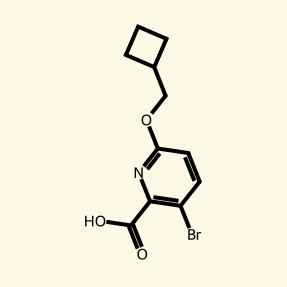 O=C(O)c1nc(OCC2CCC2)ccc1Br